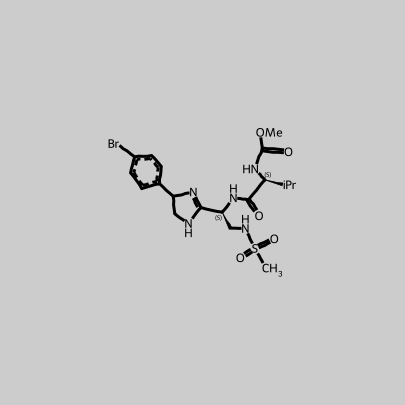 COC(=O)N[C@H](C(=O)N[C@@H](CNS(C)(=O)=O)C1=NC(c2ccc(Br)cc2)CN1)C(C)C